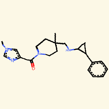 Cn1cnc(C(=O)N2CCC(C)(CNC3CC3c3ccccc3)CC2)c1